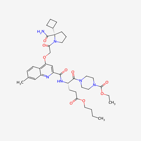 CCCCOC(=O)CC[C@H](NC(=O)c1cc(OCC(=O)N2CCC[C@@]2(C(N)=O)C2CCC2)c2ccc(C)cc2n1)C(=O)N1CCN(C(=O)OCC)CC1